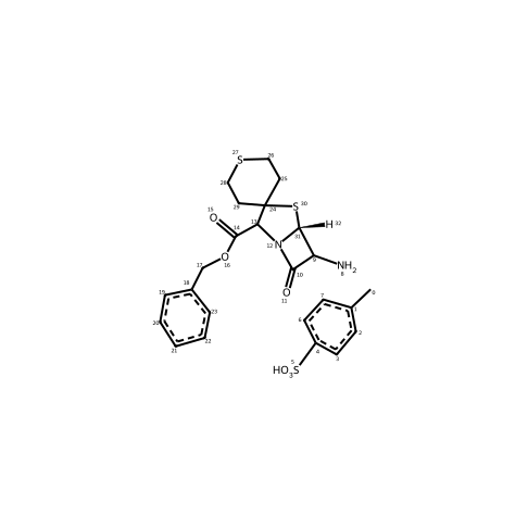 Cc1ccc(S(=O)(=O)O)cc1.NC1C(=O)N2C(C(=O)OCc3ccccc3)C3(CCSCC3)S[C@H]12